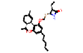 C=C(C)[C@@H]1CCC(C)=C[C@H]1c1c(O)cc(CCCCC)cc1OCS[C@H]1NC(=O)[C@@H]1CC